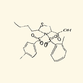 CCCCC1SCC(C(=O)O)[N+]1(S(=O)(=O)c1ccc(C)cc1)S(=O)(=O)c1ccccc1C